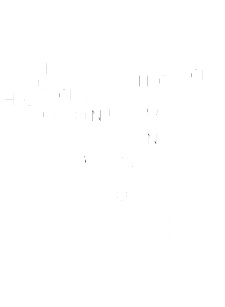 CC(C)Cc1cnc(-c2onc([C@@H](CCCOCc3ccccc3)CC(=O)OC(C)(C)C)c2C2CC2)o1